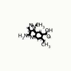 CCc1cc2nc(N)c3cnn(C)c3c2cc1C(=O)O